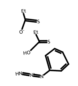 CCC(O)=S.CCC([O-])=S.N=[N+]=Nc1ccccc1